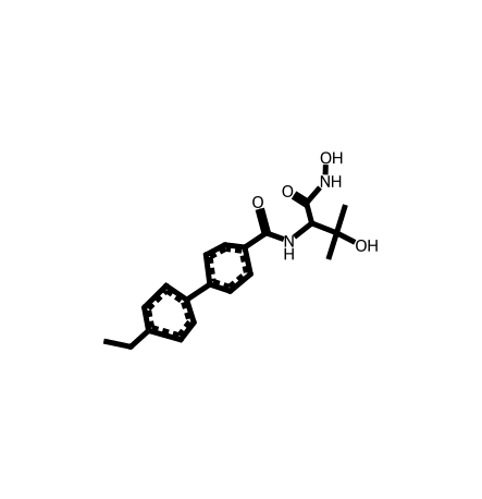 CCc1ccc(-c2ccc(C(=O)NC(C(=O)NO)C(C)(C)O)cc2)cc1